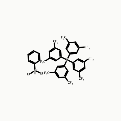 CC[NH+](CC)c1ccccc1.FC(F)(F)c1cc([B-](c2cc(C(F)(F)F)cc(C(F)(F)F)c2)(c2cc(C(F)(F)F)cc(C(F)(F)F)c2)c2cc(C(F)(F)F)cc(C(F)(F)F)c2)cc(C(F)(F)F)c1